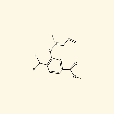 C=CC[C@@H](C)Oc1nc(C(=O)OC)ccc1C(F)F